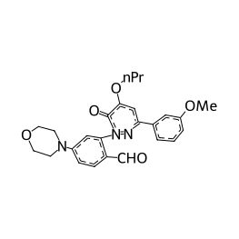 CCCOc1cc(-c2cccc(OC)c2)nn(-c2cc(N3CCOCC3)ccc2C=O)c1=O